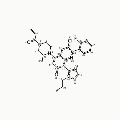 C=CC(=O)N1CCN(c2nc(=O)n(-c3ncnn3CCC)c3nc(-c4ccccc4F)c(Cl)cc23)[C@@H](C)C1